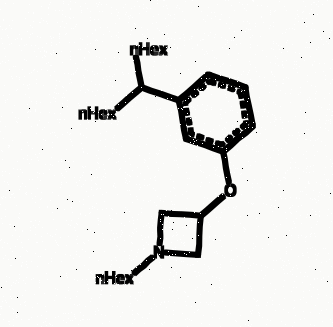 CCCCCCC(CCCCCC)c1cccc(OC2CN(CCCCCC)C2)c1